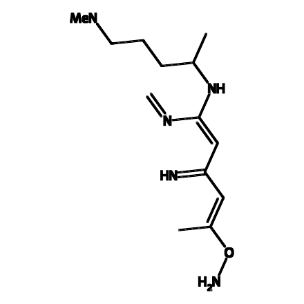 C=N/C(=C\C(=N)/C=C(\C)ON)NC(C)CCCNC